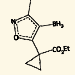 Bc1c(C)noc1C1(C(=O)OCC)CC1